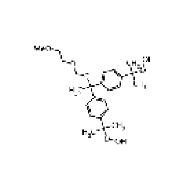 COCCOCOC(C)(c1ccc(C(C)(C)OO)cc1)c1ccc(C(C)(C)OO)cc1